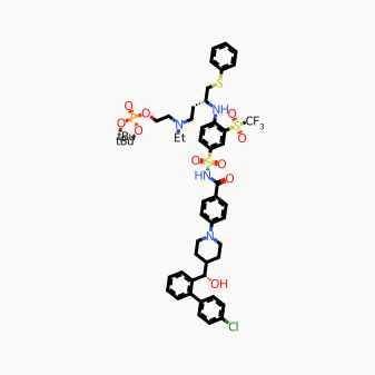 CCN(CCOP(=O)(OC(C)(C)C)OC(C)(C)C)CC[C@H](CSc1ccccc1)Nc1ccc(S(=O)(=O)NC(=O)c2ccc(N3CCC([C@H](O)c4ccccc4-c4ccc(Cl)cc4)CC3)cc2)cc1S(=O)(=O)C(F)(F)F